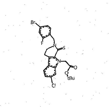 CC(C)(C)OC(=O)Cn1c2c(c3ccc(Cl)cc31)CCN(Cc1ccc(Br)cc1F)C2=S